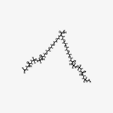 CBC(=O)N(CCOCCOCCOCCOCCC(=O)NC(C)(C)COC(C)(C)CCC(=O)NCCC(C)C)CCOCCOCCOCCOCCC(=O)NC(C)(C)COC(C)(C)CCC(=O)NCCC(C)(C)OCC